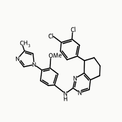 COc1cc(Nc2ncc3c(n2)C(c2ccc(Cl)c(Cl)c2)CCC3)ccc1-n1cnc(C)c1